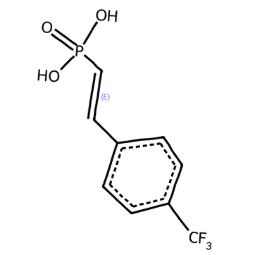 O=P(O)(O)/C=C/c1ccc(C(F)(F)F)cc1